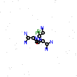 N#Cc1cc(C#N)cc(-c2ccc3c(c2)c2ccccc2n3-c2cc(-c3cccc(C#N)c3)c(C(F)(F)F)cc2-n2c3ccccc3c3cc(-c4cc(C#N)cc(C#N)c4)ccc32)c1